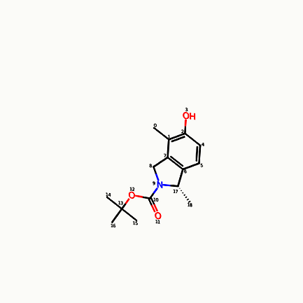 Cc1c(O)ccc2c1CN(C(=O)OC(C)(C)C)[C@H]2C